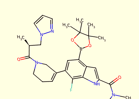 C[C@@H](Cn1cccn1)C(=O)N1CCC=C(c2cc(B3OC(C)(C)C(C)(C)O3)c3cc(C(=O)N(C)C)[nH]c3c2F)C1